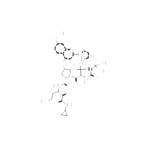 CCCC(NC(=O)[C@@H]1C[C@@H](Oc2cc(-n3cccn3)nc3cc(OC)ccc23)CN1C(=O)C(NC(=O)NC(C)(C)C)C(C)(C)C)C(=O)C(=O)NC1CC1